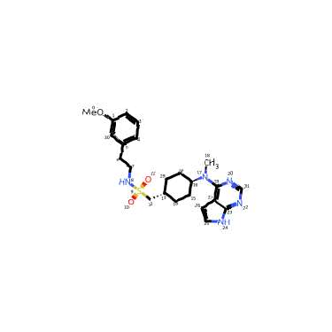 COc1cccc(CCNS(=O)(=O)C[C@H]2CC[C@H](N(C)c3ncnc4[nH]ccc34)CC2)c1